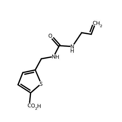 C=CCNC(=O)NCc1ccc(C(=O)O)s1